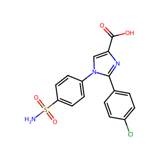 NS(=O)(=O)c1ccc(-n2cc(C(=O)O)nc2-c2ccc(Cl)cc2)cc1